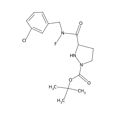 CC(C)(C)OC(=O)N1CCC(C(=O)N(F)Cc2cccc(Cl)c2)N1